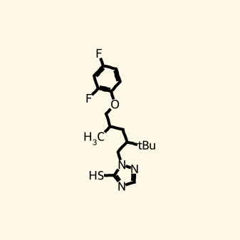 CC(COc1ccc(F)cc1F)CC(Cn1ncnc1S)C(C)(C)C